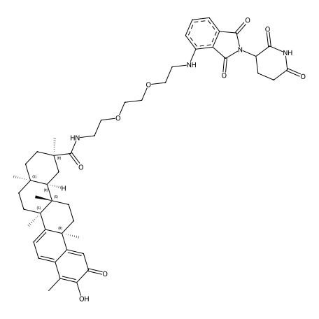 CC1=C(O)C(=O)C=C2C1=CC=C1[C@@]2(C)CC[C@@]2(C)[C@@H]3C[C@](C)(C(=O)NCCOCCOCCNc4cccc5c4C(=O)N(C4CCC(=O)NC4=O)C5=O)CC[C@]3(C)CC[C@]12C